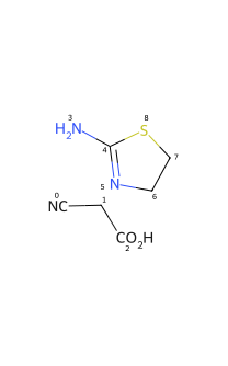 N#CCC(=O)O.NC1=NCCS1